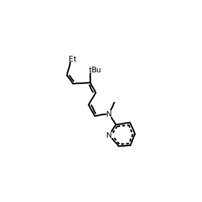 CC\C=C/C(=C\C=C/N(C)c1ccccn1)C(C)(C)C